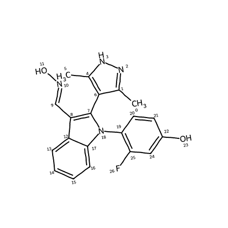 Cc1n[nH]c(C)c1-c1c(/C=N/O)c2ccccc2n1-c1ccc(O)cc1F